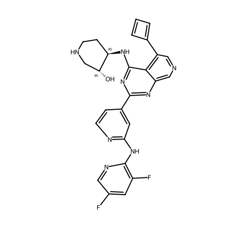 O[C@@H]1CNCC[C@H]1Nc1nc(-c2ccnc(Nc3ncc(F)cc3F)c2)nc2cncc(C3=CC=C3)c12